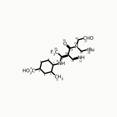 CC1CC(C(=O)O)CCC1N/C(=C(\C=N)C(=O)N(CC=O)CC(C)(C)C)C(F)(F)F